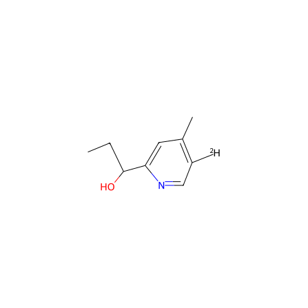 [2H]c1cnc(C(O)CC)cc1C